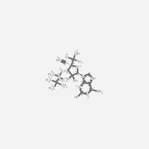 [2H]C1([2H])[C@H](n2cnc3c(N)nc(F)nc32)O[C@](C#C)(C([2H])([2H])O)[C@H]1O[Si](C)(C)C(C)(C)C